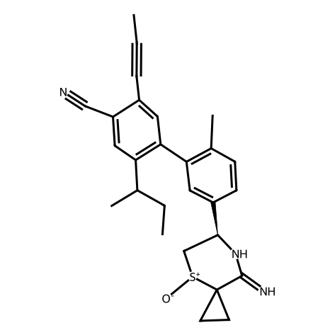 CC#Cc1cc(-c2cc([C@@H]3C[S+]([O-])C4(CC4)C(=N)N3)ccc2C)c(C(C)CC)cc1C#N